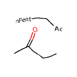 CCC(C)=O.CCCCCCC(C)=O